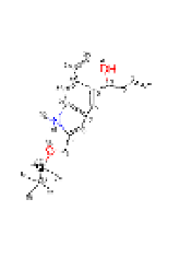 C=CCC(O)c1cc2cc(CO[Si](C)(C)C(C)(C)C)n(C)c2cc1C=C